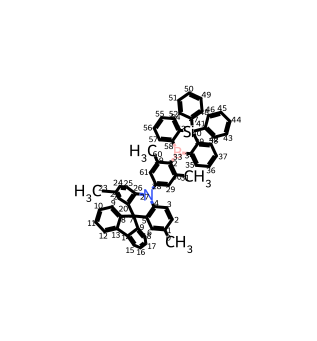 Cc1ccc2c(c1)C1(c3ccccc3-c3ccccc31)c1cc(C)ccc1N2c1cc(C)c(B2c3ccccc3[Si](c3ccccc3)(c3ccccc3)c3ccccc32)c(C)c1